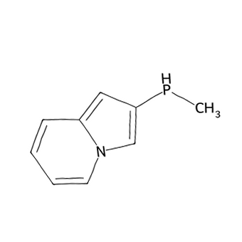 CPc1cc2ccccn2c1